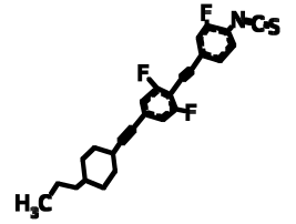 CCCC1CCC(C#Cc2cc(F)c(C#Cc3ccc(N=C=S)c(F)c3)c(F)c2)CC1